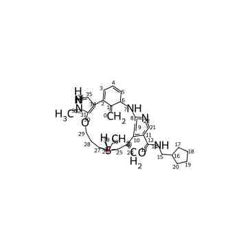 C=C1C2=CC=CC1Nc1cc(c(C(=O)NCC3CCCC3)cn1)C(=C)C1SC(CCO/C(NC)=C\2C=N)[C@@H]1C